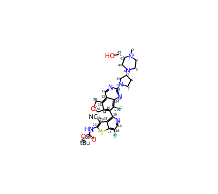 CN1CCN([C@@H]2CCN(c3ncc4c5c(c(-c6ncc(F)c7sc(NC(=O)OC(C)(C)C)c(C#N)c67)c(F)c4n3)COC5)C2)C[C@@H]1CO